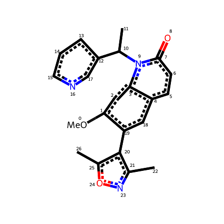 COc1cc2c(ccc(=O)n2C(C)c2cccnc2)cc1-c1c(C)noc1C